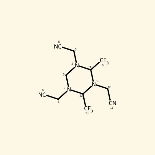 N#CCN1CN(CC#N)C(C(F)(F)F)N(CC#N)C1C(F)(F)F